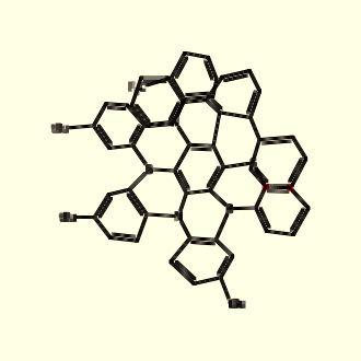 CC(C)(C)c1ccc2c(c1)B1c3ccccc3Sc3c1c1c4c(c3-c3c(-c5ccccc5)cccc3-c3ccccc3)N(c3ccccc3C(F)(F)F)c3ccc(C(C)(C)C)cc3B4c3cc(C(C)(C)C)ccc3N21